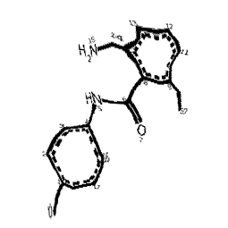 Cc1ccc(NC(=O)c2c(C)cccc2N)cc1